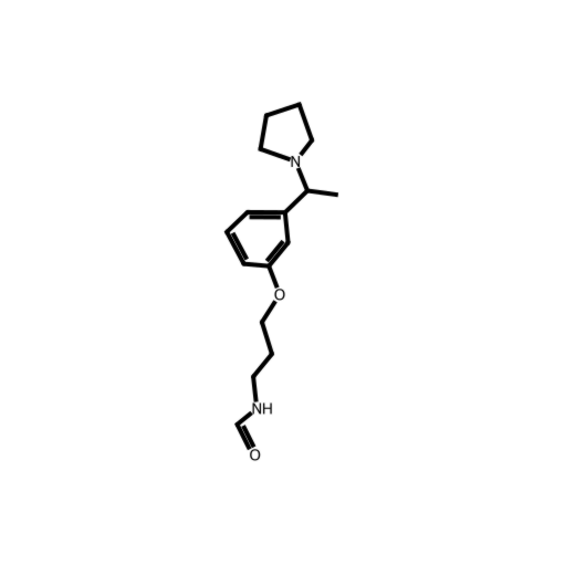 CC(c1cccc(OCCCNC=O)c1)N1CCCC1